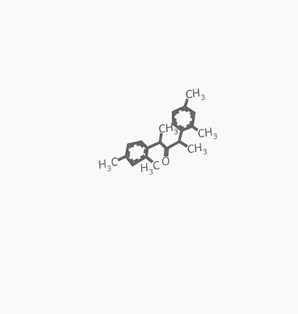 Cc1ccc(C(C)C(=O)C(C)c2ccc(C)cc2C)c(C)c1